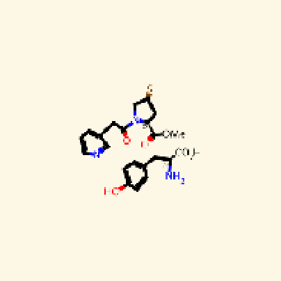 COC(=O)[C@@H]1CC(=S)CN1C(=O)Cc1cccnc1.N[C@@H](Cc1ccc(O)cc1)C(=O)O